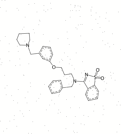 O=S1(=O)N=C(N(CCCOc2cccc(CN3CCCCC3)c2)Cc2ccccc2)c2ccccc21